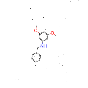 COc1cc(NCc2ccccc2)cc(OC)c1